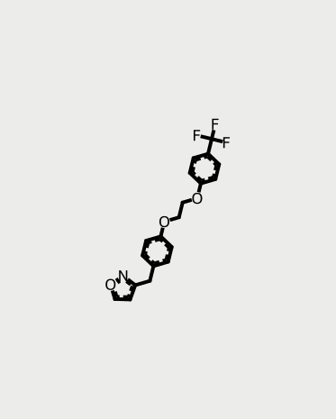 FC(F)(F)c1ccc(OCCOc2ccc(Cc3ccon3)cc2)cc1